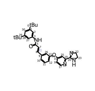 CC(C)(C)c1cc(NC(=O)/C=C/c2cccc(Oc3ccnc(C4=NCCN4)c3)c2)cc(C(C)(C)C)c1